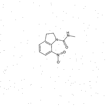 CNC(=O)N1CCc2cccc([N+](=O)[O-])c21